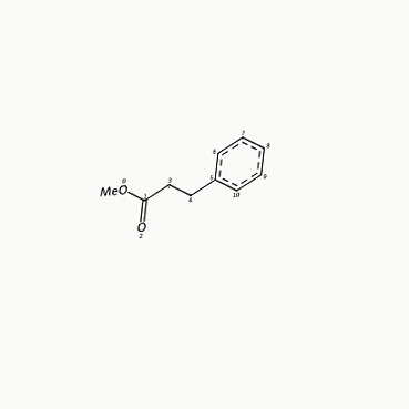 COC(=O)[CH]Cc1ccccc1